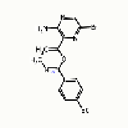 C=C(O/C(=N\C)c1ccc(CC)cc1)c1nc(Br)cnc1N